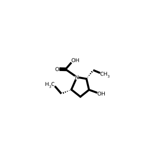 CC[C@H]1CC(O)[C@@H](CC)N1C(=O)O